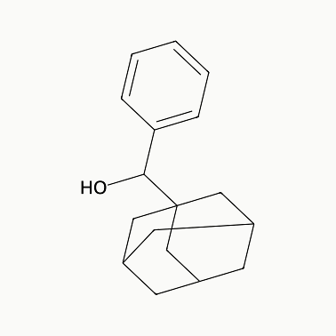 OC(c1ccccc1)C12CC3CC(CC(C3)C1)C2